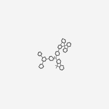 CC1(C)c2ccccc2-c2ccc(N(c3ccc(-c4cc(-c5ccccc5)cc(-c5ccccc5)c4)cc3)c3ccc(-c4ccc5c(c4)C4(c6ccccc6-c6ccccc64)c4ccccc4-5)cc3)cc21